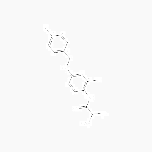 CC(=O)NC(C)C(=O)Nc1ccc(OCc2ccc(F)cc2)cc1F